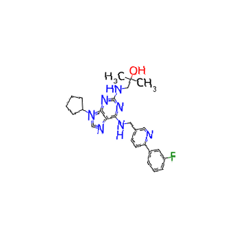 CC(C)(O)CNc1nc(NCc2ccc(-c3cccc(F)c3)nc2)c2ncn(C3CCCC3)c2n1